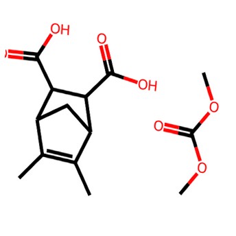 CC1=C(C)C2CC1C(C(=O)O)C2C(=O)O.COC(=O)OC